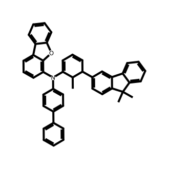 CC1C(N(c2ccc(-c3ccccc3)cc2)c2cccc3c2oc2ccccc23)=CC=CC1c1ccc2c(c1)-c1ccccc1C2(C)C